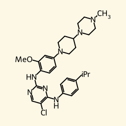 COc1cc(N2CCC(N3CCN(C)CC3)CC2)ccc1Nc1ncc(Cl)c(Nc2ccc(C(C)C)cc2)n1